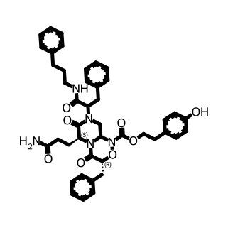 NC(=O)CC[C@H]1C(=O)N(C(Cc2ccccc2)C(=O)NCCCc2ccccc2)CC2N(C(=O)OCCc3ccc(O)cc3)O[C@H](Cc3ccccc3)C(=O)N21